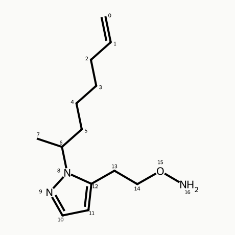 C=CCCCCC(C)n1nccc1CCON